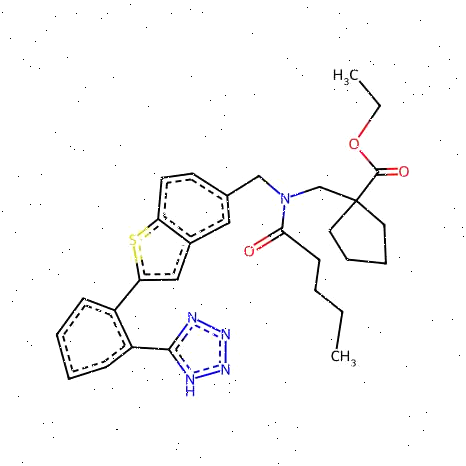 CCCCC(=O)N(Cc1ccc2sc(-c3ccccc3-c3nnn[nH]3)cc2c1)CC1(C(=O)OCC)CCCC1